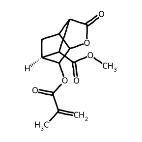 C=C(C)C(=O)OC1C2OC(=O)C3C2C[C@H]1C3C(=O)OC